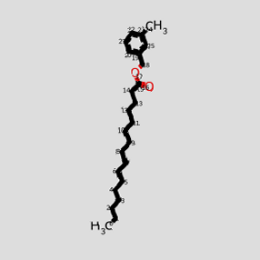 CCCCCCCCCCCCCCCC(=O)OCc1cccc(C)c1